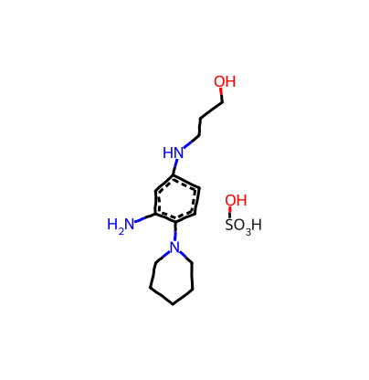 Nc1cc(NCCCO)ccc1N1CCCCC1.O=S(=O)(O)O